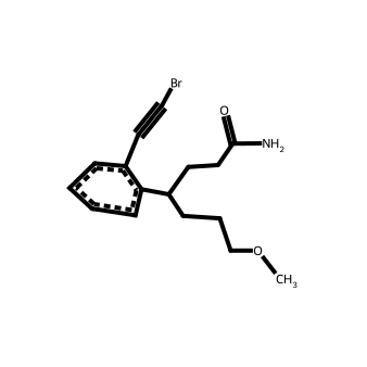 COCCCC(CCC(N)=O)c1ccccc1C#CBr